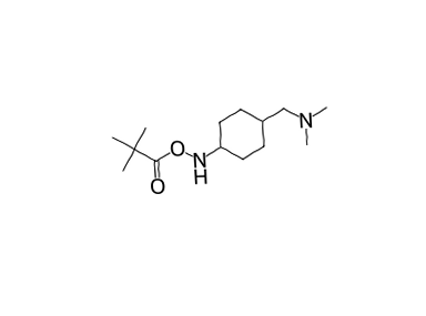 CN(C)CC1CCC(NOC(=O)C(C)(C)C)CC1